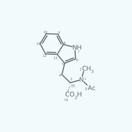 CC(=O)N(C)[C@@H](Cc1c[nH]c2ccccc12)C(=O)O